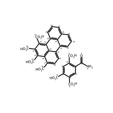 NC(=O)c1cc(C(=O)O)c(C(=O)O)cc1C(=O)O.O=C(O)c1c(C(=O)O)c2c(C(=O)O)ccc3c4cccc5cccc(c(c1C(=O)O)c23)c54